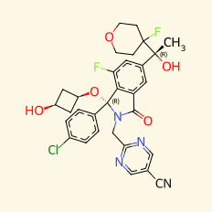 C[C@@](O)(c1cc(F)c2c(c1)C(=O)N(Cc1ncc(C#N)cn1)[C@@]2(O[C@H]1C[C@@H](O)C1)c1ccc(Cl)cc1)C1(F)CCOCC1